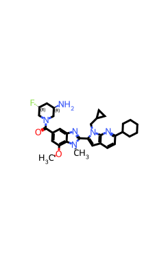 COc1cc(C(=O)N2C[C@H](N)C[C@@H](F)C2)cc2nc(-c3cc4ccc(C5CCCCC5)nc4n3CC3CC3)n(C)c12